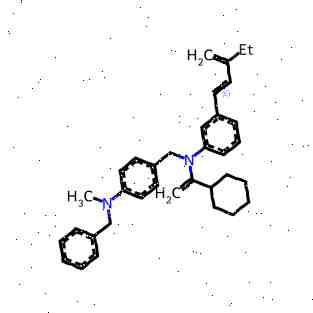 C=C(/C=C/c1cccc(N(Cc2ccc(N(C)Cc3ccccc3)cc2)C(=C)C2CCCCC2)c1)CC